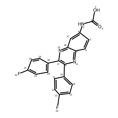 O=C(O)Nc1ccc2nc(-c3ccc(F)cc3)c(-c3ccc(F)cc3)nc2c1